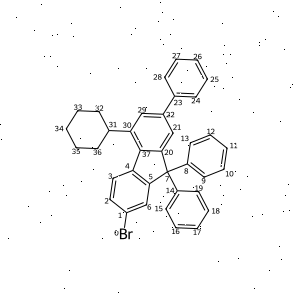 Brc1ccc2c(c1)C(c1ccccc1)(c1ccccc1)c1cc(-c3ccccc3)cc(C3CCCCC3)c1-2